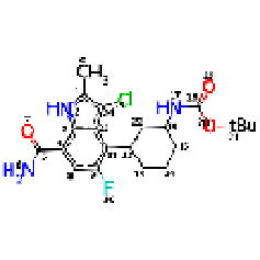 Cc1[nH]c2c(C(N)=O)cc(F)c(C3CCCC(NC(=O)OC(C)(C)C)C3)c2c1Cl